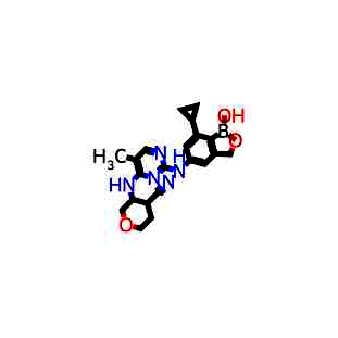 Cc1cnc(Nc2cc3c(c(C4CC4)c2)B(O)OC3)nc1NC1COCCC1C#N